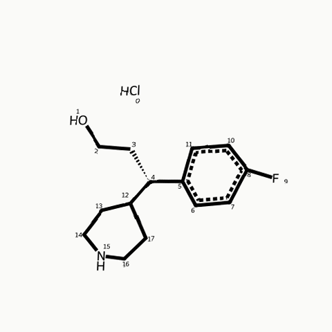 Cl.OCC[C@H](c1ccc(F)cc1)C1CCNCC1